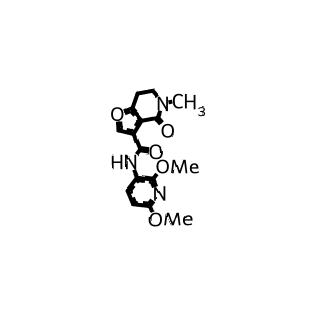 COc1ccc(NC(=O)c2coc3c2C(=O)N(C)CC3)c(OC)n1